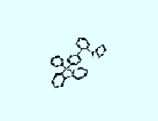 c1ccc(Nc2ccccc2-c2ccc(C3(c4ccccc4)c4ccccc4-c4ccccc43)cc2)cc1